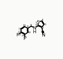 N#Cc1ccsc1NCc1ccc(F)c(F)c1